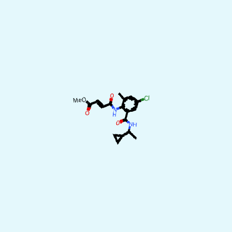 COC(=O)C=CC(=O)Nc1c(C)cc(Cl)cc1C(=O)NC(C)C1CC1